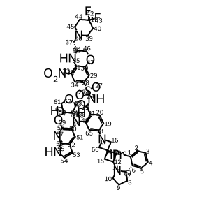 CC(C)c1ccccc1[C@@H]1CCCN1C1CC2(C1)CN(c1ccc(C(=O)NS(=O)(=O)c3cc4c(c([N+](=O)[O-])c3)N[C@H](CN3CCC(F)(F)CC3)CO4)c(N3c4cc5cc[nH]c5nc4O[C@@H]4COC[C@H]43)c1)C2